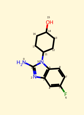 Nc1nc2cc(F)ccc2n1C1CCC(O)CC1